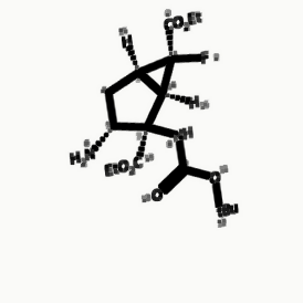 CCOC(=O)[C@@]1(F)[C@@H]2C[C@@H](N)[C@@](NC(=O)OC(C)(C)C)(C(=O)OCC)[C@@H]21